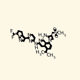 CC(C)c1ccc(N2C[C@H](CS(C)(=O)=O)[C@H]2N)c2cnc(Nc3ccnc(-c4cnn5c4CC[C@@H]5C(F)F)n3)cc12